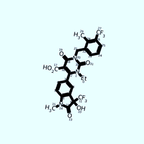 CCn1c(-c2ccc3c(c2)C(O)(C(F)(F)F)C(=O)N3C)c(C(=O)O)c(=O)n(Cc2cccc(C(F)(F)F)c2C)c1=O